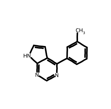 Cc1cccc(-c2ncnc3[nH]ccc23)c1